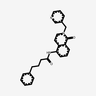 O=C(CCCc1ccccc1)Nc1cccc2c(=O)n(Cc3cccnc3)ccc12